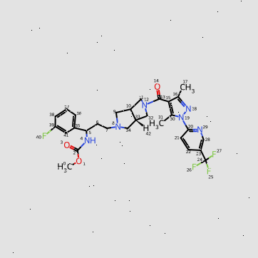 COC(=O)NC(CCN1CC2CN(C(=O)c3c(C)nn(-c4ccc(C(F)(F)F)cn4)c3C)C[C@@H]2C1)c1cccc(F)c1